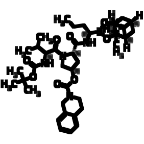 CCC[C@H](NC(=O)[C@@H]1C[C@@H](OC(=O)N2CCc3ccccc3C2)CN1C(=O)[C@@H](NC(=O)OC(C)(C)C)C(C)C)B1O[C@@H]2C[C@@H]3C[C@@H](C3(C)C)[C@]2(C)O1